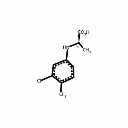 C[C@@H](Nc1ccc(C(F)(F)F)c(Cl)c1)C(=O)O